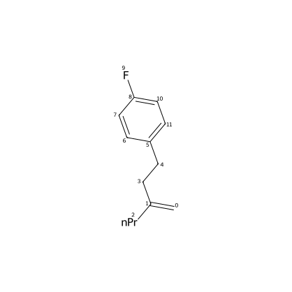 C=C(CCC)CCc1ccc(F)cc1